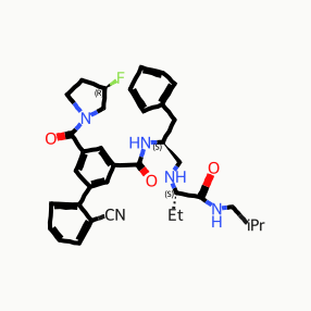 CC[C@H](NC[C@H](Cc1ccccc1)NC(=O)c1cc(C(=O)N2CC[C@@H](F)C2)cc(-c2ccccc2C#N)c1)C(=O)NCC(C)C